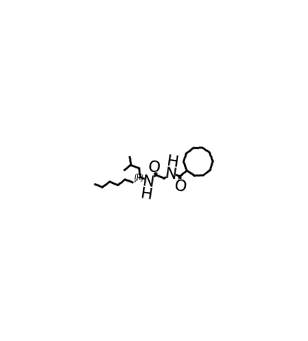 CCCCCC[C@H](CC(C)C)NC(=O)CNC(=O)C1CCCCCCCCC1